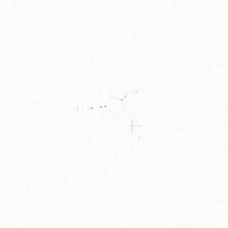 C=C=C1CC(SC(C)(C)C)C(=C)C1C